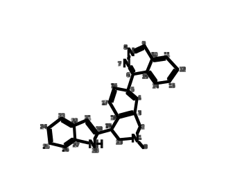 CN1Cc2cc(-c3nncc4ccccc34)ccc2C(c2cc3ccccc3[nH]2)C1